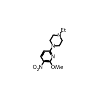 CCN1CCN(c2ccc([N+](=O)[O-])c(OC)n2)CC1